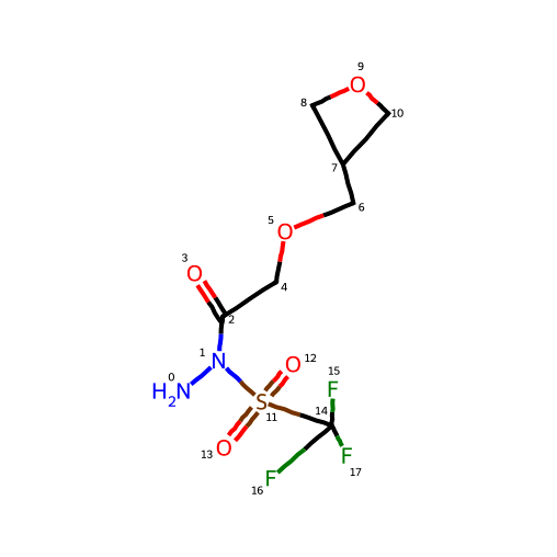 NN(C(=O)COCC1COC1)S(=O)(=O)C(F)(F)F